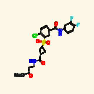 COC(=O)CCNC(=O)[C@H]1C[C@@H](S(=O)(=O)c2cc(C(=O)Nc3ccc(F)c(F)c3)ccc2Cl)C1